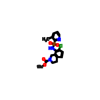 Cc1cccnc1S(=O)(=O)Nc1c(Cl)ccc2c1CN(C(=O)OC(C)(C)C)CC2